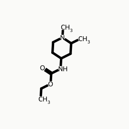 CCOC(=O)NC1CCN(C)C(C)C1